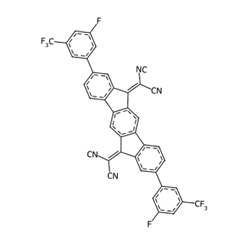 [C-]#[N+]/C(C#N)=C1/c2cc(-c3cc(F)cc(C(F)(F)F)c3)ccc2-c2cc3c(cc21)-c1ccc(-c2cc(F)cc(C(F)(F)F)c2)cc1/C3=C(/C#N)[N+]#[C-]